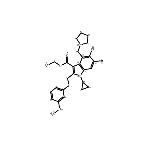 CCOC(=O)c1c(CSc2cccc(OC)c2)n(C2CC2)c2cc(Br)c(O)c(CN3CCCC3)c12